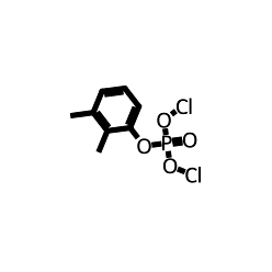 Cc1cccc(OP(=O)(OCl)OCl)c1C